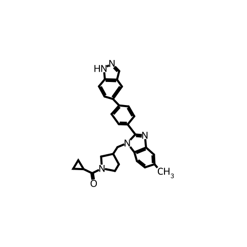 Cc1ccc2c(c1)nc(-c1ccc(-c3ccc4[nH]ncc4c3)cc1)n2CC1CCN(C(=O)C2CC2)C1